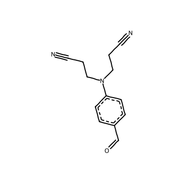 N#CCCN(CCC#N)c1ccc(C=O)cc1